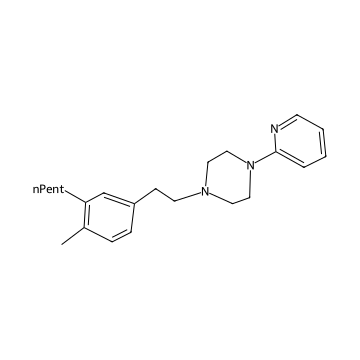 CCCCCc1cc(CCN2CCN(c3ccccn3)CC2)ccc1C